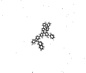 c1ccc(-c2ccc(N(c3ccc(-c4ccc5c6ccccc6n(-c6ccc7ccccc7c6)c5c4)cc3)c3ccc4c(c3)C(c3ccccc3)(c3ccccc3)c3ccccc3-4)cc2)cc1